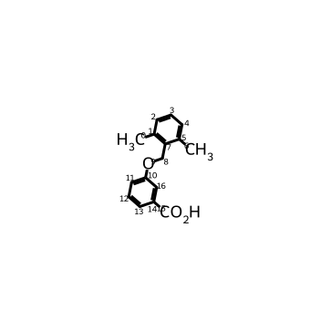 Cc1cccc(C)c1COc1cccc(C(=O)O)c1